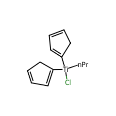 CC[CH2][Ti]([Cl])([C]1=CC=CC1)[C]1=CC=CC1